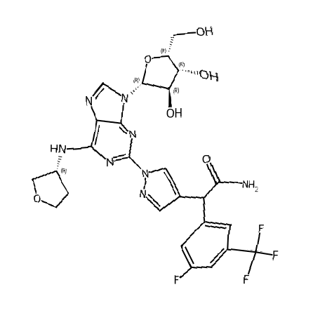 NC(=O)C(c1cc(F)cc(C(F)(F)F)c1)c1cnn(-c2nc(N[C@@H]3CCOC3)c3ncn([C@@H]4O[C@H](CO)[C@H](O)[C@H]4O)c3n2)c1